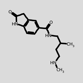 CNCCC(C)CNC(=O)c1ccc2c(c1)CC(=O)N2